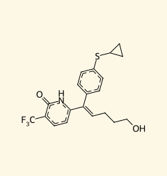 O=c1[nH]c(C(=CCCCO)c2ccc(SC3CC3)cc2)ccc1C(F)(F)F